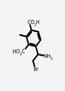 Cc1c(C(=O)O)ccc(C(N)CBr)c1C(=O)O